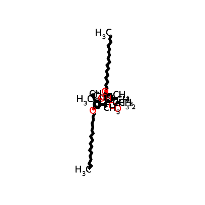 C=CC(=O)Oc1c(C(C)c2cc(OCCCCCCCCCCCCCCCCCC)cc(C(C)(C)C)c2O)cc(OCCCCCCCCCCCCCCCCCC)cc1C(C)(C)C